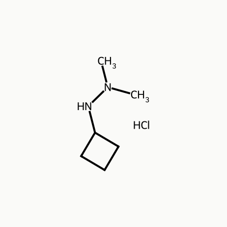 CN(C)NC1CCC1.Cl